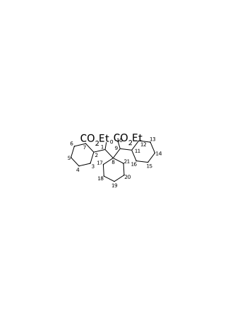 CCOC(=O)C(C1CCCCC1)C1(C(C(=O)OCC)C2CCCCC2)CCCCC1